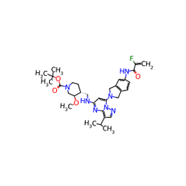 C=C(F)C(=O)Nc1ccc2c(c1)CN(c1cc(NC[C@H]3CCN(C(=O)OC(C)(C)C)C[C@@H]3OC)nc3c(C(C)C)cnn13)C2